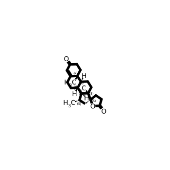 C[C@H]1C[C@@]2(CCC(=O)O2)[C@@]2(C)CC[C@H]3[C@@H](CCC4=CC(=O)CC[C@@]43C)[C@H]12